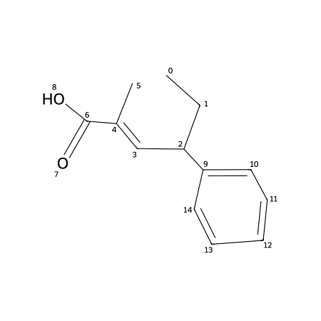 CCC(C=C(C)C(=O)O)c1ccccc1